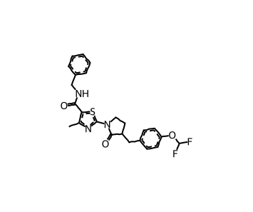 Cc1nc(N2CCC(Cc3ccc(OC(F)F)cc3)C2=O)sc1C(=O)NCc1ccccc1